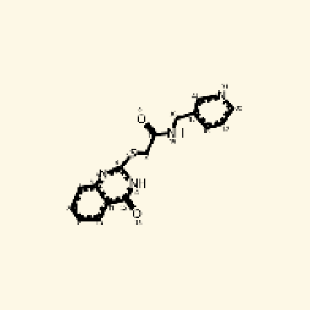 O=C(CSc1nc2ccccc2c(=O)[nH]1)NCc1cccnc1